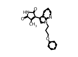 CC1=C(c2cn(CCCOc3ccccc3)c3ncccc23)C(=O)NC1=O